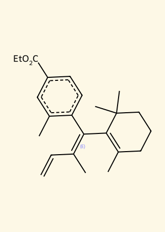 C=C/C(C)=C(/C1=C(C)CCCC1(C)C)c1ccc(C(=O)OCC)cc1C